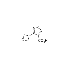 O=C(O)c1conc1C1COC1